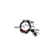 CO[C@H]1C[C@@H]2CC[C@@H](C)[C@@](O)(O2)C(=O)C(=O)N2CCCC[C@H]2C(=O)O[C@H]([C@H](C)C[C@@H]2CC[C@@H](OC(=O)C3(C)COCOC3)[C@H](OC)C2)CC(=O)[C@H](C)/C=C(\C)[C@@H](C)[C@@H](OC)C(=O)[C@H](C)CC[C@H](C)/C=C/C=C/C=C/1C